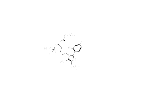 CC(C)c1c(C(=O)O)nc(-c2ccc(F)cc2F)n1CC[C@@H]1C[C@H](CC(=O)OC(C)(C)C)OC(C)(C)O1